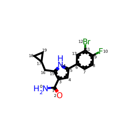 NC(=O)c1cc(-c2ccc(F)c(Br)c2)[nH]c1CC1CC1